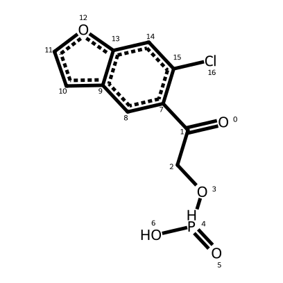 O=C(CO[PH](=O)O)c1cc2ccoc2cc1Cl